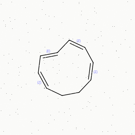 [C]1=C/C=C/C=C\C=C/CC\1